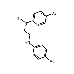 CCN(CCNc1ccc(C(C)=O)cc1)c1ccc(C(C)=O)cc1